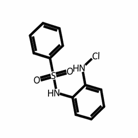 O=S(=O)(Nc1ccccc1NCl)c1ccccc1